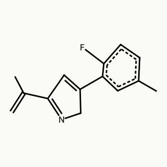 C=C(C)C1=NCC(c2cc(C)ccc2F)=C1